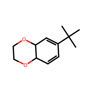 CC(C)(C)C1=CC2OCCOC2C=C1